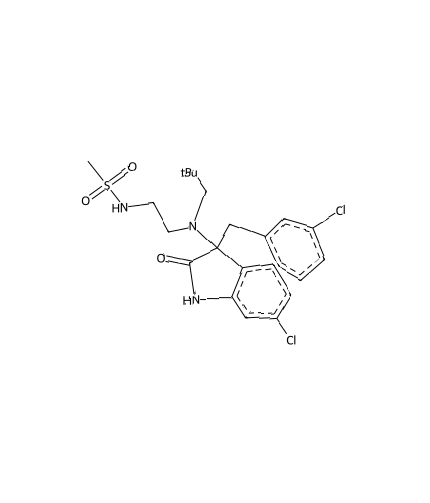 CC(C)(C)CN(CCNS(C)(=O)=O)C1(Cc2cccc(Cl)c2)C(=O)Nc2cc(Cl)ccc21